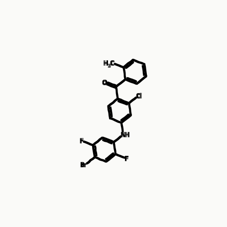 Cc1ccccc1C(=O)c1ccc(Nc2cc(F)c(Br)cc2F)cc1Cl